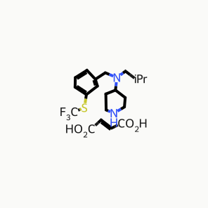 CC(C)CN(Cc1cccc(SC(F)(F)F)c1)C1CCNCC1.O=C(O)C=CC(=O)O